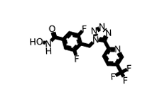 O=C(NO)c1cc(F)c(Cn2nnnc2-c2ccc(C(F)(F)F)cn2)c(F)c1